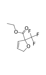 CCOC(=O)C1(C(F)(F)F)C=CCO1